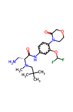 CN(CC(C)(C)C)[C@H](CN)C(=O)Nc1ccc(N2CCOCC2=O)c(OC(F)F)c1